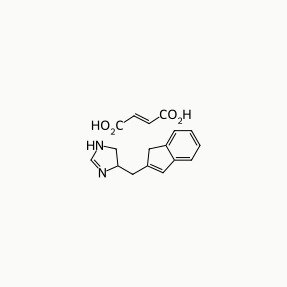 C1=NC(CC2=Cc3ccccc3C2)CN1.O=C(O)C=CC(=O)O